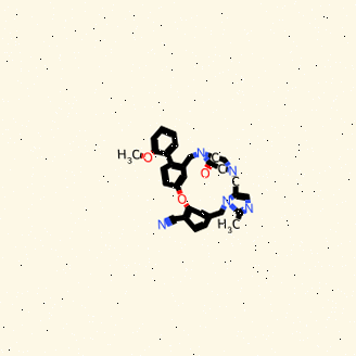 COc1ccccc1-c1ccc2cc1CN1CCN(CC1=O)Cc1cnc(C)n1Cc1ccc(C#N)c(c1)O2